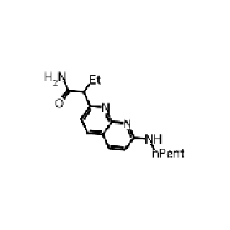 CCCCCNc1ccc2ccc(C(CC)C(N)=O)nc2n1